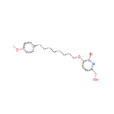 COc1ccc(CCCCCCCCOc2ccc(CO)nc2Br)cc1